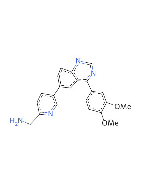 COc1ccc(-c2ncnc3ccc(-c4ccc(CN)nc4)cc23)cc1OC